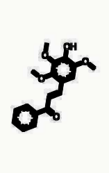 COc1cc(C=CC(=O)c2ccccc2)c(OC)c(OC)c1O